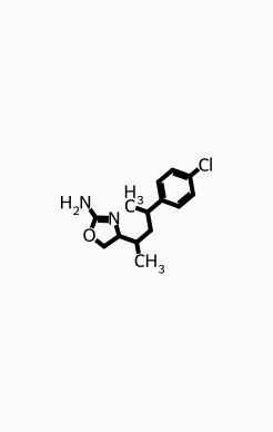 CC(CC(C)C1COC(N)=N1)c1ccc(Cl)cc1